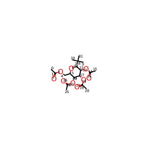 CC(=O)OCC1O[C@@H](C(C)(C)C)C(OC(C)=O)C(OC(C)=O)[C@@H]1OC(C)=O